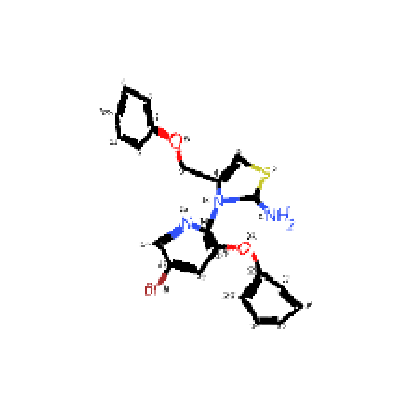 NC1SC=C(COc2ccccc2)N1c1ncc(Br)cc1Oc1ccccc1